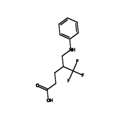 O=C(O)CCC(CNc1ccccc1)C(F)(F)F